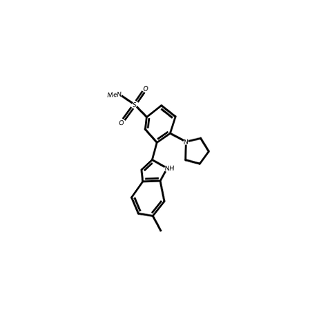 CNS(=O)(=O)c1ccc(N2CCCC2)c(-c2cc3ccc(C)cc3[nH]2)c1